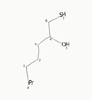 CC(C)CCCC(O)CS